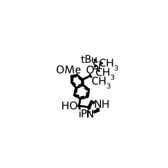 COc1ccc2cc(C(O)(c3c[nH]cn3)C(C)C)ccc2c1C(C)O[Si](C)(C)C(C)(C)C